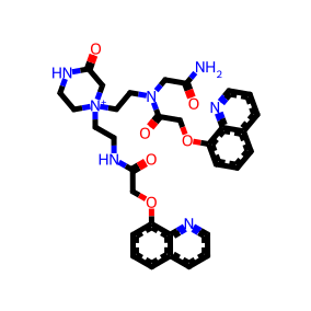 NC(=O)CN(CC[N+]1(CCNC(=O)COc2cccc3cccnc23)CCNC(=O)C1)C(=O)COc1cccc2cccnc12